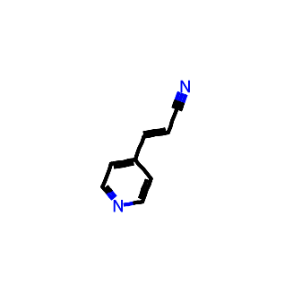 N#CC=Cc1ccncc1